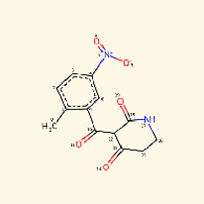 Cc1ccc([N+](=O)[O-])cc1C(=O)C1C(=O)CCNC1=O